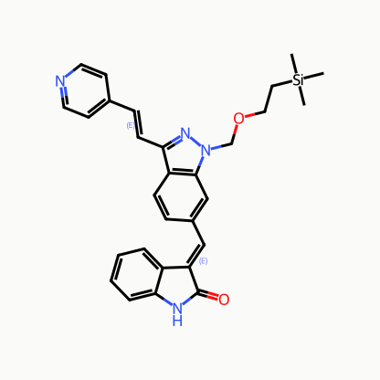 C[Si](C)(C)CCOCn1nc(/C=C/c2ccncc2)c2ccc(/C=C3/C(=O)Nc4ccccc43)cc21